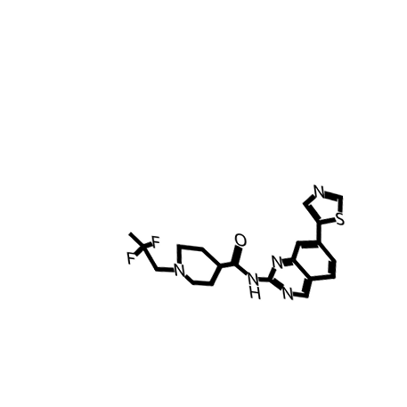 CC(F)(F)CN1CCC(C(=O)Nc2ncc3ccc(-c4cncs4)cc3n2)CC1